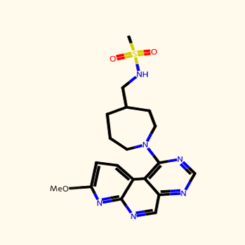 COc1ccc2c(ncc3ncnc(N4CCCC(CNS(C)(=O)=O)CC4)c32)n1